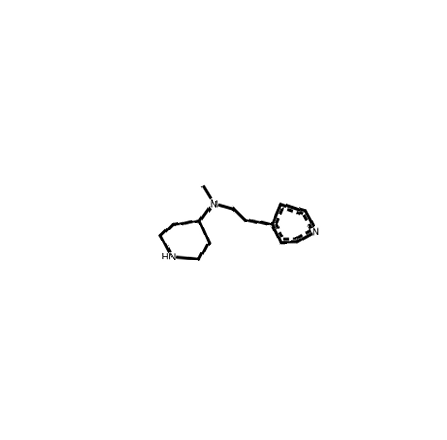 CN(CCc1ccncc1)C1CCNCC1